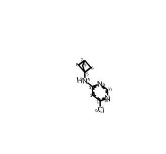 Clc1cc(NC23CC(C2)C3)ncn1